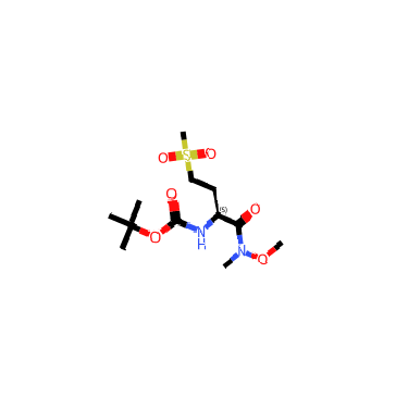 CON(C)C(=O)[C@H](CCS(C)(=O)=O)NC(=O)OC(C)(C)C